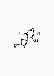 Cc1cnc(Cl)c(S)c1-n1cnc(C2CC2)c1